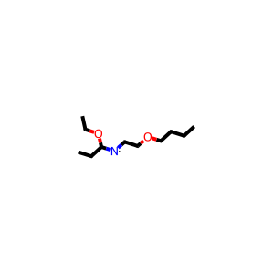 CCCCOCC[N]C(CC)OCC